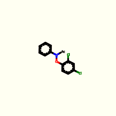 CC(=O)N(Oc1ccc(Cl)cc1Cl)c1cc[c]cc1